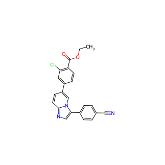 CCOC(=O)c1ccc(-c2ccc3ncc(-c4ccc(C#N)cc4)n3c2)cc1Cl